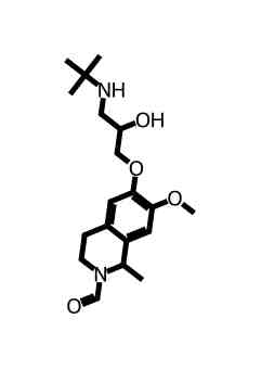 COc1cc2c(cc1OCC(O)CNC(C)(C)C)CCN(C=O)C2C